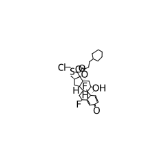 C[C@@H]1C[C@H]2[C@@H]3C[C@H](F)C4=CC(=O)C=C[C@]4(C)[C@@]3(F)C(O)C[C@]2(C)[C@@]1(OC(=O)CCC1CCCCC1)C(=O)SCCl